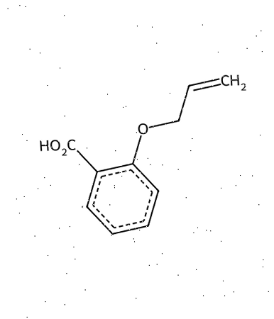 C=CCOc1ccc[c]c1C(=O)O